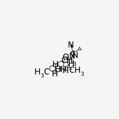 C[C@H]1CC[C@H]2[C@H](CC[C@H]3C4[C@@H]5[C@H](C)[C@@H]5[C@H](C(=O)Cn5cc(C#N)c(C6CC6)n5)[C@@]4(C)CC[C@H]23)C1